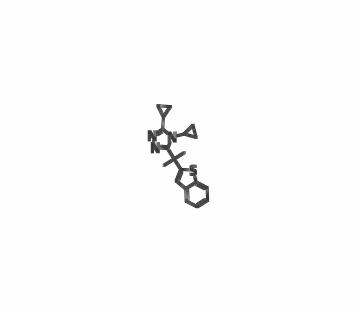 CC(C)(c1cc2ccccc2s1)c1nnc(C2CC2)n1C1CC1